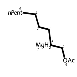 CCCCCCCCCCOC(C)=O.[MgH2]